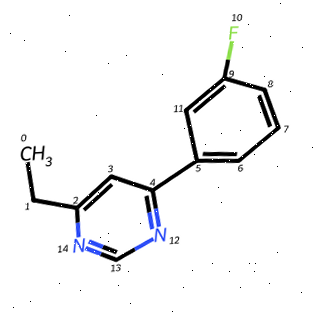 CCc1cc(-c2cccc(F)c2)ncn1